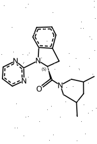 CC1CC(C)CN(C(=O)[C@@H]2Cc3ccccc3N2c2ncccn2)C1